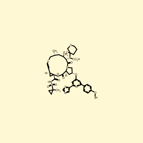 CC(C)Oc1ccc(-c2cc(O[C@@H]3C[C@H]4C(=O)N[C@]5(C(=O)NS(=O)(=O)C6(C)CC6)C[C@H]5/C=C\CC[C@H](C)C[C@@H](C)[C@H](N(C(=O)O)C5(C(F)(F)F)CCCOC5)C(=O)N4C3)cc(-c3cncs3)n2)cc1